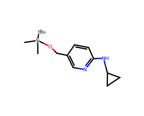 CC(C)(C)[Si](C)(C)OCc1ccc(NC2CC2)nc1